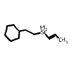 CC=C[SiH2]CCC1CCCCC1